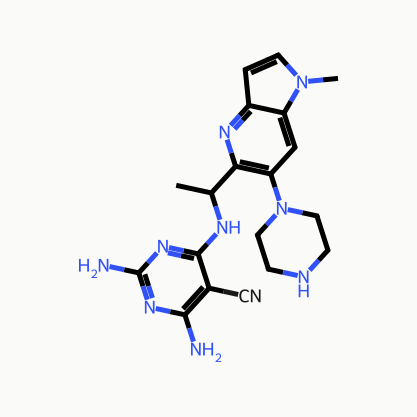 CC(Nc1nc(N)nc(N)c1C#N)c1nc2ccn(C)c2cc1N1CCNCC1